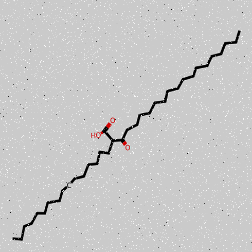 CCCCCCCCCCCCCCCCCC(=O)C(CCCCCCCCCCCCCCCC)C(=O)O